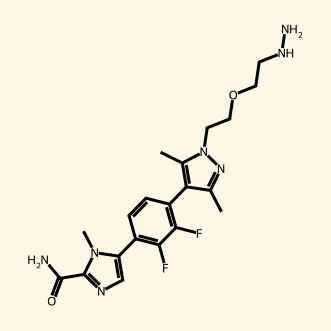 Cc1nn(CCOCCNN)c(C)c1-c1ccc(-c2cnc(C(N)=O)n2C)c(F)c1F